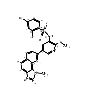 COc1ncc(-c2ccc3ncc4nnn(C)c4c3n2)cc1NS(=O)(=O)c1ccc(F)cc1F